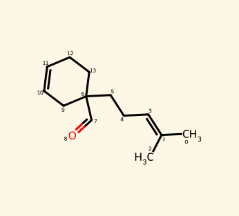 CC(C)=CCCC1(C=O)CC=CCC1